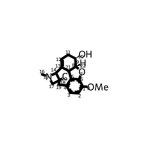 COc1ccc2c3c1O[C@H]1[C@@H](O)CC=C4C5N(C)CC5(C2)C[C@]431